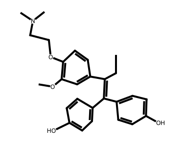 CCC(=C(c1ccc(O)cc1)c1ccc(O)cc1)c1ccc(OCCN(C)C)c(OC)c1